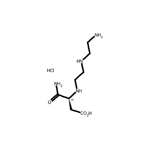 Cl.NCCNCCN[C@@H](CC(=O)O)C(N)=O